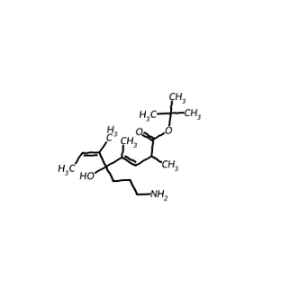 CC=C(C)C(O)(CCCN)C(C)=CC(C)C(=O)OC(C)(C)C